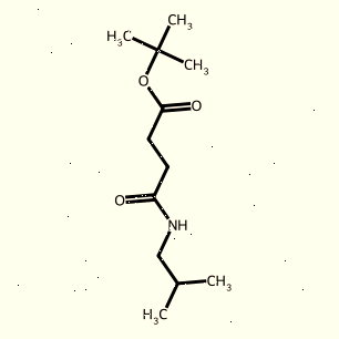 CC(C)CNC(=O)CCC(=O)OC(C)(C)C